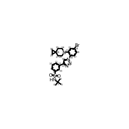 CC(C)(C)NS(=O)(=O)c1cccc(-c2cn(-c3ccc(Br)cc3N3CCC4(CC3)CC4)nn2)c1